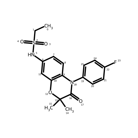 CCS(=O)(=O)Nc1ccc2c(c1)OC(C)(C)C(=O)N2c1ccc(F)cc1